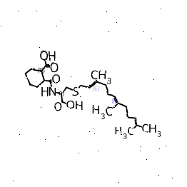 CC(C)=CCC/C(C)=C/CC/C(C)=C/CSC[C@H](NC(=O)C1CCCC[C@H]1C(=O)O)C(=O)O